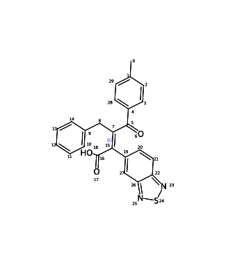 Cc1ccc(C(=O)/C(Cc2ccccc2)=C(/C(=O)O)c2ccc3nsnc3c2)cc1